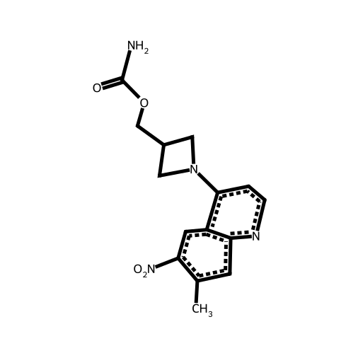 Cc1cc2nccc(N3CC(COC(N)=O)C3)c2cc1[N+](=O)[O-]